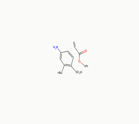 C=CC(=O)OCCC.CCCCc1cc(N)ccc1S(=O)(=O)O